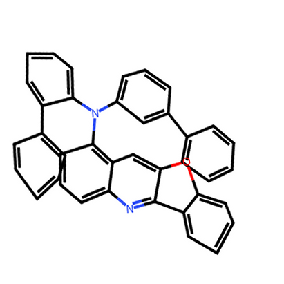 c1ccc(-c2cccc(N(c3ccccc3-c3ccccc3)c3cccc4nc5c(cc34)oc3ccccc35)c2)cc1